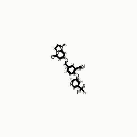 CN1CCn2c1cc(OCc1ccc(Oc3cncc(C(C)(F)F)c3)c(C#N)c1)cc2=O